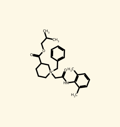 Cc1cccc(C)c1NC(=O)C[N+]1(Cc2ccccc2)CCCC(C(=O)OCC(C)C)C1